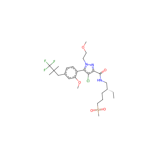 CC[C@H](CCCS(C)(=O)=O)CNC(=O)c1nn(CCOC)c(-c2ccc(CC(C)(C)C(F)(F)F)cc2OC)c1Cl